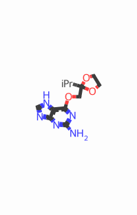 CC(C)C1(COc2nc(N)nc3nc[nH]c23)OCCO1